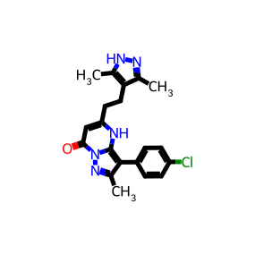 Cc1n[nH]c(C)c1CCc1cc(=O)n2nc(C)c(-c3ccc(Cl)cc3)c2[nH]1